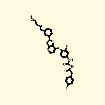 COCCNCc1cccc(C2Cc3nccc(Oc4ccc(NC(=O)NC(=O)Cc5ccc(F)cc5)cc4F)c3S2)c1